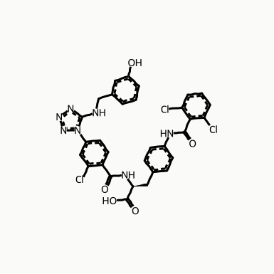 O=C(N[C@@H](Cc1ccc(NC(=O)c2c(Cl)cccc2Cl)cc1)C(=O)O)c1ccc(-n2nnnc2NCc2cccc(O)c2)cc1Cl